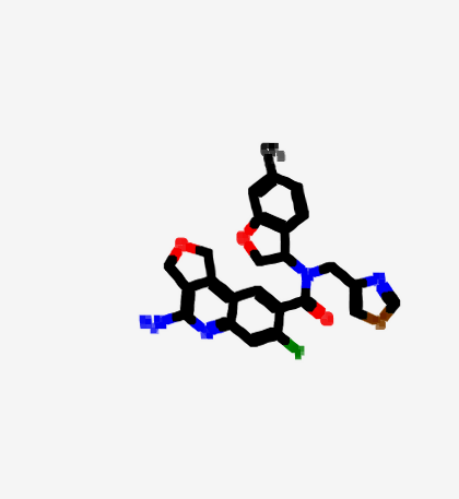 Nc1nc2cc(F)c(C(=O)N(Cc3cscn3)C3COc4cc(C(F)(F)F)ccc43)cc2c2c1COC2